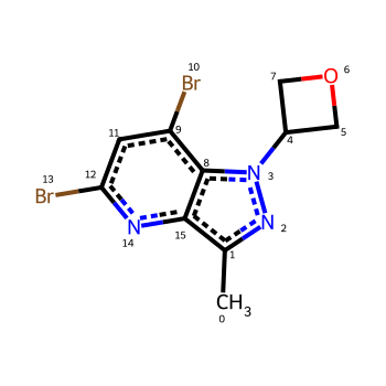 Cc1nn(C2COC2)c2c(Br)cc(Br)nc12